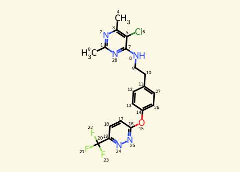 Cc1nc(C)c(Cl)c(NCCc2ccc(Oc3ccc(C(F)(F)F)nn3)cc2)n1